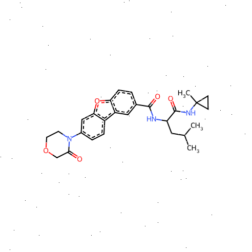 CC(C)CC(NC(=O)c1ccc2oc3cc(N4CCOCC4=O)ccc3c2c1)C(=O)NC1(C)CC1